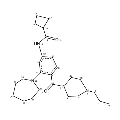 CCCN1CCN(C(=O)c2ccc(NC(=O)C3CCC3)cc2N2CCCCCC2)CC1